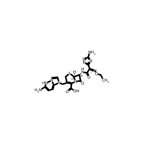 CCO/N=C(\C(=O)N[C@@H]1C(=O)N2C(C(=O)O)=C(CN3C=CN4NC(N)=CC=C34)CS[C@@H]12)c1nsc(N)n1